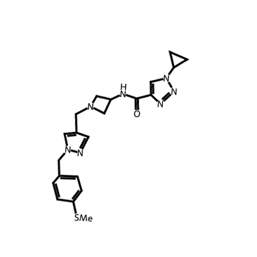 CSc1ccc(Cn2cc(CN3CC(NC(=O)c4cn(C5CC5)nn4)C3)cn2)cc1